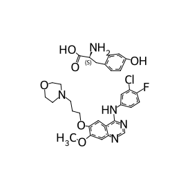 COc1cc2ncnc(Nc3ccc(F)c(Cl)c3)c2cc1OCCCN1CCOCC1.N[C@@H](Cc1ccc(O)cc1)C(=O)O